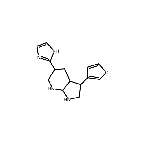 c1nnc(C2CNC3NCC(c4ccoc4)C3C2)[nH]1